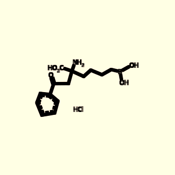 Cl.NC(CCCCB(O)O)(CC(=O)c1ccccc1)C(=O)O